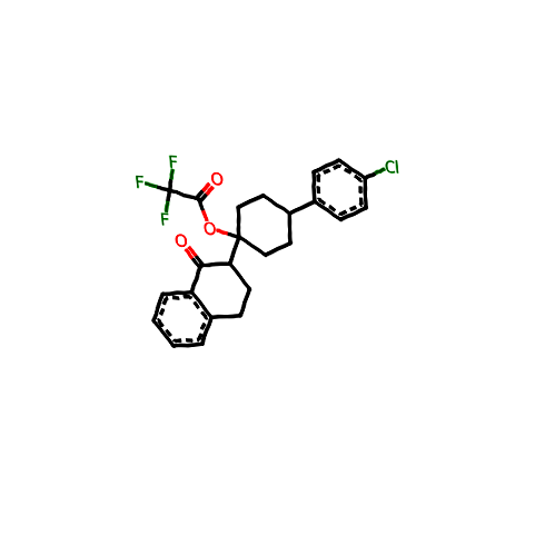 O=C1c2ccccc2CCC1C1(OC(=O)C(F)(F)F)CCC(c2ccc(Cl)cc2)CC1